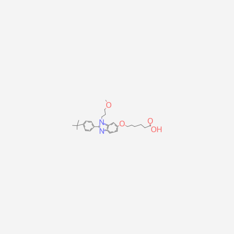 COCCCn1c(-c2ccc(C(C)(C)C)cc2)nc2ccc(OCCCCCC(=O)O)cc21